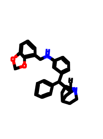 c1ccc(C(c2cccc(NCc3cccc4c3OCO4)c2)[C@H]2CC3CCN2CC3)cc1